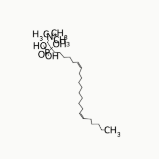 CCCCC/C=C\CCCCCCCC/C=C\CCCCCC(O)(C[N+](C)(C)C)P(=O)(O)O